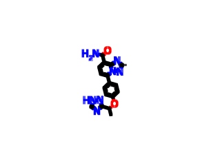 CC(Oc1ccc(-c2ccc(C(N)=O)c3n[c]nn23)cc1)c1nc[nH]n1